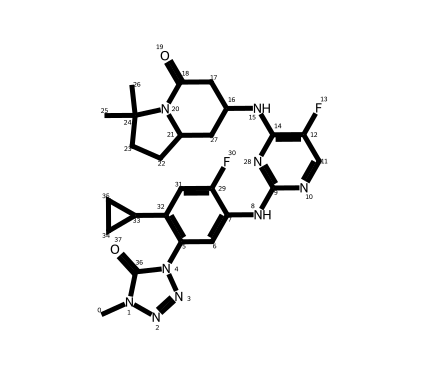 Cn1nnn(-c2cc(Nc3ncc(F)c(NC4CC(=O)N5C(CCC5(C)C)C4)n3)c(F)cc2C2CC2)c1=O